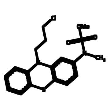 COS(=O)(=O)N(C)c1ccc2c(c1)N(CCCCl)c1ccccc1S2